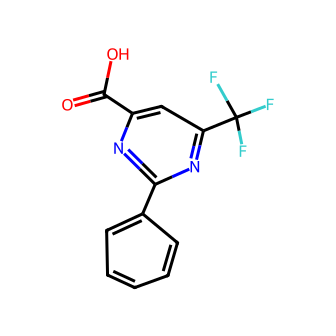 O=C(O)c1cc(C(F)(F)F)nc(-c2ccccc2)n1